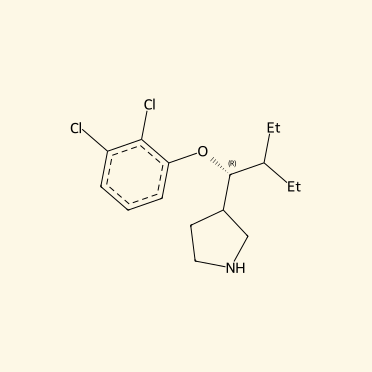 CCC(CC)[C@@H](Oc1cccc(Cl)c1Cl)C1CCNC1